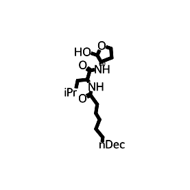 CCCCCCCCCCCCCCCC(=O)NC(CC(C)C)C(=O)N[C@H]1CCOC1O